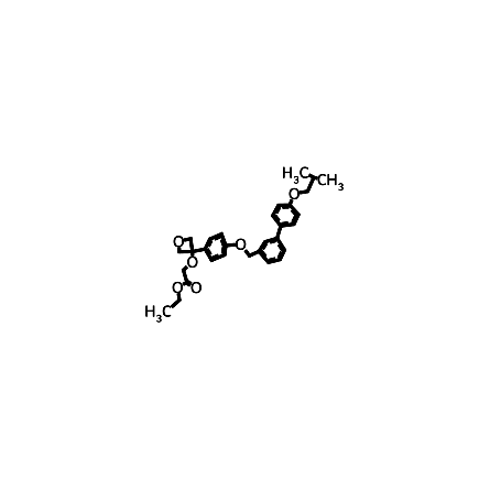 CCOC(=O)COC1(c2ccc(OCc3cccc(-c4ccc(OCC(C)C)cc4)c3)cc2)COC1